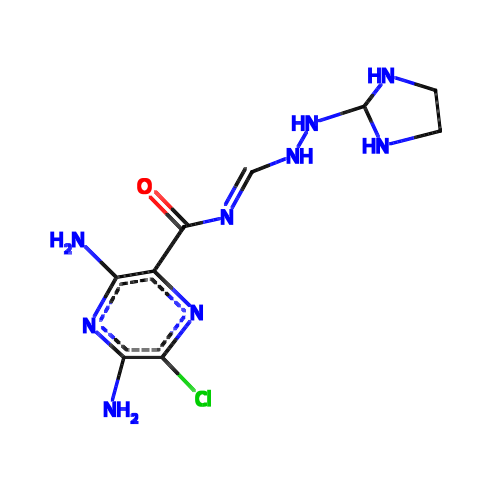 Nc1nc(N)c(C(=O)N=CNNC2NCCN2)nc1Cl